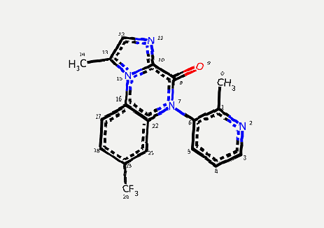 Cc1ncccc1-n1c(=O)c2ncc(C)n2c2ccc(C(F)(F)F)cc21